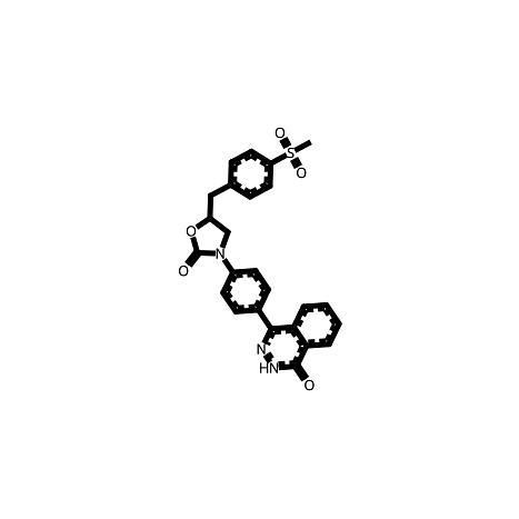 CS(=O)(=O)c1ccc(CC2CN(c3ccc(-c4n[nH]c(=O)c5ccccc45)cc3)C(=O)O2)cc1